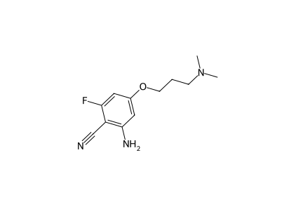 CN(C)CCCOc1cc(N)c(C#N)c(F)c1